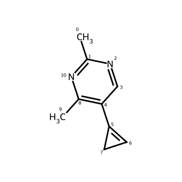 Cc1ncc(C2=CC2)c(C)n1